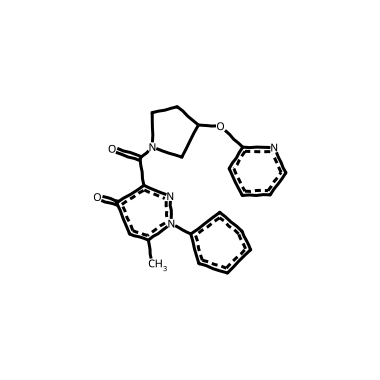 Cc1cc(=O)c(C(=O)N2CCC(Oc3ccccn3)C2)nn1-c1ccccc1